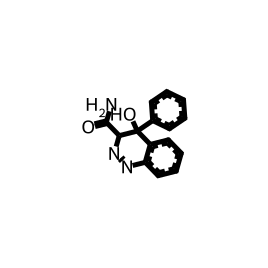 NC(=O)C1N=Nc2ccccc2C1(O)c1ccccc1